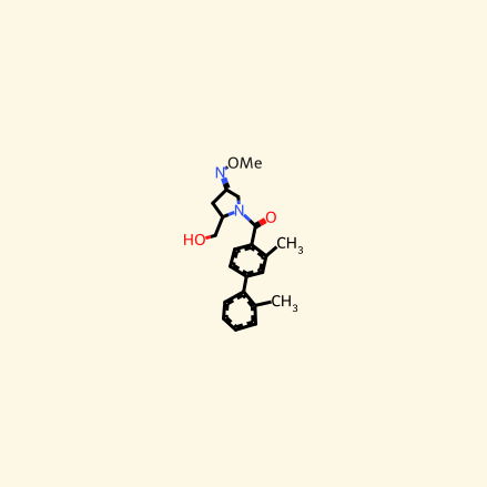 CO/N=C1/CC(CO)N(C(=O)c2ccc(-c3ccccc3C)cc2C)C1